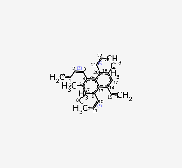 C=C/C=C\c1c(C)c(C)c(/C=C\C)c2c(C=C)cc(C)c(/C=C\C)c12